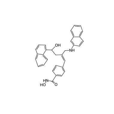 O=C(NO)c1ccc(C=C(CNc2ccc3ccccc3c2)CC(O)c2cccc3ccccc23)cc1